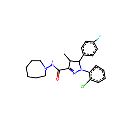 CC1C(C(=O)NN2CCCCCC2)=NN(c2ccccc2Cl)C1c1ccc(F)cc1